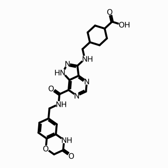 O=C1COc2ccc(CNC(=O)c3ncnc4c(NCC5CCC(C(=O)O)CC5)n[nH]c34)cc2N1